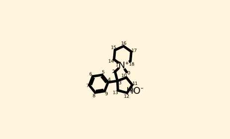 C[N+]1(CC2(c3ccccc3)CCCC2)CCCCC1.[OH-]